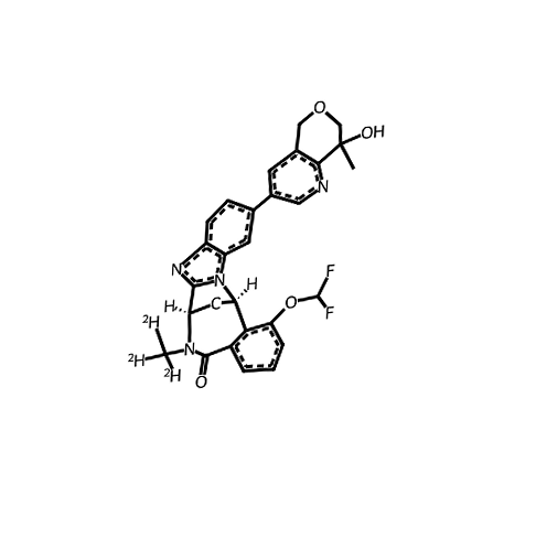 [2H]C([2H])([2H])N1C(=O)c2cccc(OC(F)F)c2[C@H]2C[C@@H]1c1nc3ccc(-c4cnc5c(c4)COCC5(C)O)cc3n12